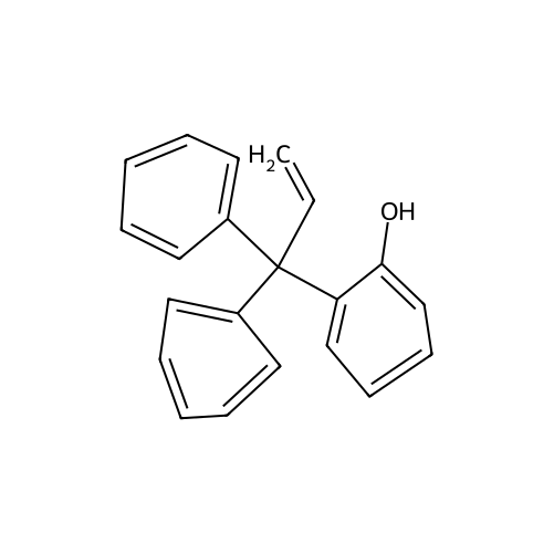 C=CC(c1ccccc1)(c1ccccc1)c1ccccc1O